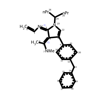 C=C/N=C1\C(=C(/C)NC)C(c2ccc(Cc3ccccc3)cc2)=CN1C(CCC)CCC